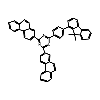 CC1(C)c2ccccc2-c2cccc(-c3ccc(-c4nc(-c5ccc6c(ccc7ccccc76)c5)nc(-c5ccc6c(ccc7ccccc76)c5)n4)cc3)c21